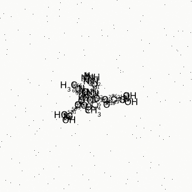 COc1ccccc1Oc1c(OCCOC(=O)c2ccc(CON(O)O)cc2)nc(-c2ccnc(-c3nnn[nH]3)c2)nc1N(COC(=O)OCCCCON(O)O)S(=O)(=O)c1ccc(C)cn1